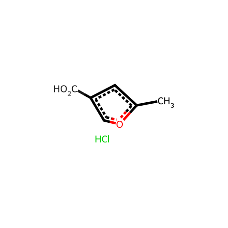 Cc1cc(C(=O)O)co1.Cl